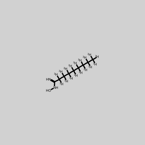 [2H]C([2H])([2H])C([2H])([2H])C([2H])([2H])C([2H])([2H])C([2H])([2H])C([2H])([2H])C([2H])([2H])C([2H])([2H])C(=N)NO